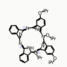 CC(C)Oc1ccc2c(c1)/C1=N/C3(OC(C)C)N/C(=N\C4=NC(=N\c5[nH]c(c6ccc(OC(C)C)cc56)N(OC(C)C)C2=N1)/c1ccccc14)c1ccccc13